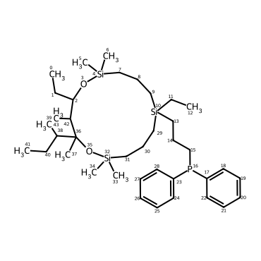 CCC1O[Si](C)(C)CCC[Si](CC)(CCCP(c2ccccc2)c2ccccc2)CCC[Si](C)(C)OC(C)(C(C)CC)C1C